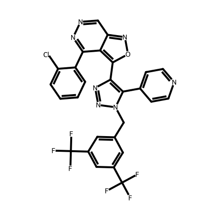 FC(F)(F)c1cc(Cn2nnc(-c3onc4cnnc(-c5ccccc5Cl)c34)c2-c2ccncc2)cc(C(F)(F)F)c1